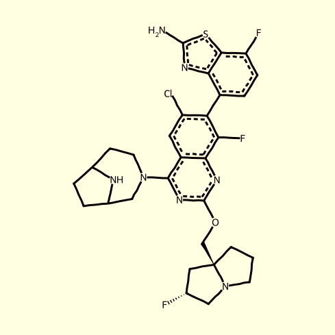 Nc1nc2c(-c3c(Cl)cc4c(N5CCC6CCC(C5)N6)nc(OC[C@@]56CCCN5C[C@H](F)C6)nc4c3F)ccc(F)c2s1